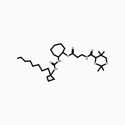 CCCCCCCCC1(NC(=O)NC2CCCCCC2OC(=O)CCNC(=O)C2OC(C)(C)OCC2(C)C)CCC1